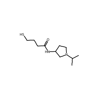 CC(C)N1CCC(NC(=O)CCCS)C1